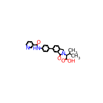 CC(C)C(C(=O)O)N1Cc2ccc(-c3ccc(NC(=O)c4cccnc4)cc3)cc2C1=O